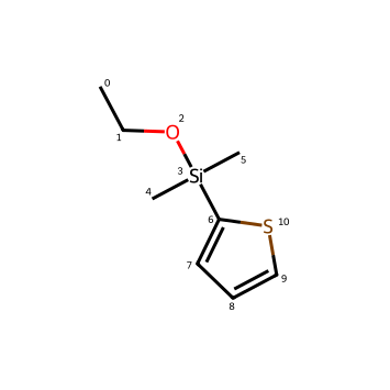 CCO[Si](C)(C)c1cccs1